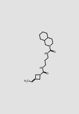 CC=C1CN(C(=O)NCCCNC(=O)N2CCC3CCCCC3C2)C1